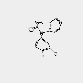 Cc1ccc(N(C(N)=O)c2ccncc2)cc1Cl